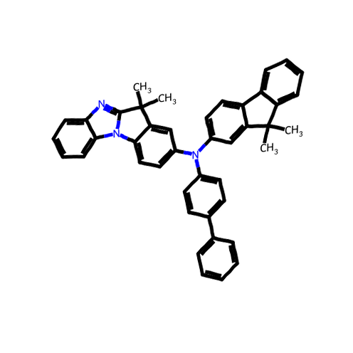 CC1(C)c2ccccc2-c2ccc(N(c3ccc(-c4ccccc4)cc3)c3ccc4c(c3)C(C)(C)c3nc5ccccc5n3-4)cc21